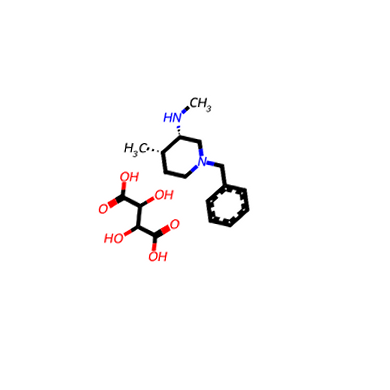 CN[C@@H]1CN(Cc2ccccc2)CC[C@@H]1C.O=C(O)C(O)C(O)C(=O)O